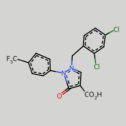 O=C(O)c1cn(Cc2ccc(Cl)cc2Cl)n(-c2ccc(C(F)(F)F)cc2)c1=O